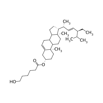 CC[C@H](/C=C/[C@@H](C)[C@H]1CCC2C3CC=C4C[C@@H](OC(=O)CCCCCO)CC[C@]4(C)C3CC[C@@]21C)C(C)C